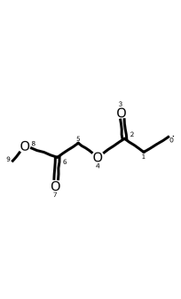 [CH2]CC(=O)OCC(=O)OC